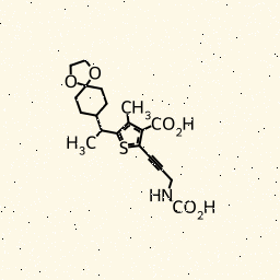 Cc1c(C(C)C2CCC3(CC2)OCCO3)sc(C#CCNC(=O)O)c1C(=O)O